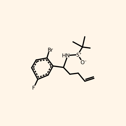 C=CCCC(N[S+]([O-])C(C)(C)C)c1cc(F)ccc1Br